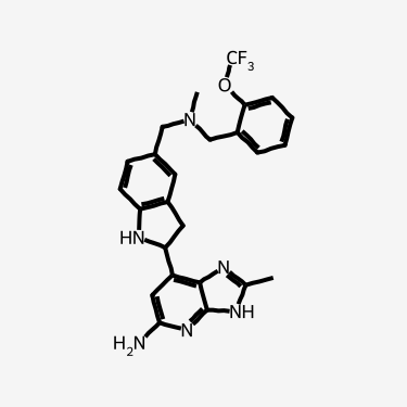 Cc1nc2c(C3Cc4cc(CN(C)Cc5ccccc5OC(F)(F)F)ccc4N3)cc(N)nc2[nH]1